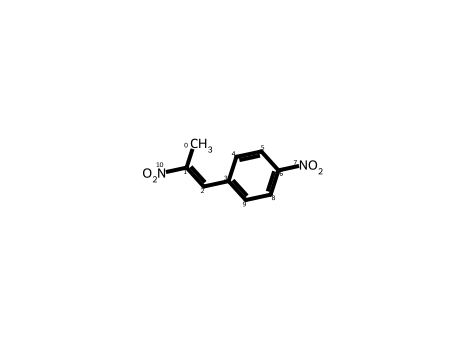 CC(=Cc1ccc([N+](=O)[O-])cc1)[N+](=O)[O-]